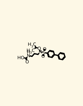 CC(C)ON(CCCNC(=O)O)S(=O)(=O)c1ccc(-c2ccccc2)cc1